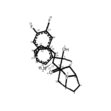 CC(O)(C(=O)N1C2CCC1CC([C@H](N)Cc1cc(F)c(F)cc1F)C2)c1ccccc1